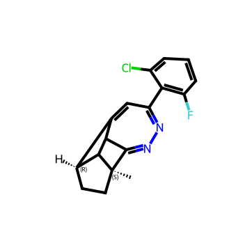 C[C@@]12CC[C@H]3C4=CC(c5c(F)cccc5Cl)=NN=C1C4C32